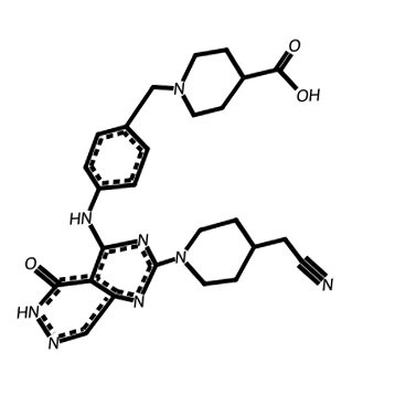 N#CCC1CCN(c2nc(Nc3ccc(CN4CCC(C(=O)O)CC4)cc3)c3c(=O)[nH]ncc3n2)CC1